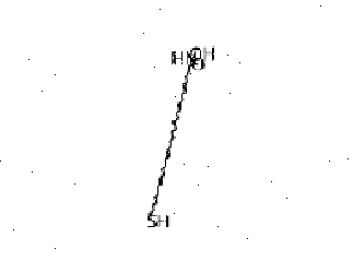 O=C(CCCCCCCCCCCCCCCCCCCCCCCCCCCCCCCCCS)NO